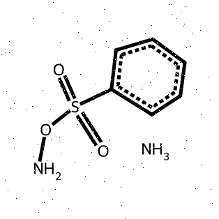 N.NOS(=O)(=O)c1ccccc1